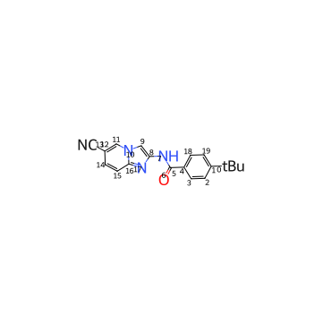 CC(C)(C)c1ccc(C(=O)Nc2cn3cc(C#N)ccc3n2)cc1